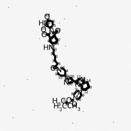 CC(C)(C)OC(=O)N1CCN(c2cccc3ncc(-c4cnn(C5CCN(C(=O)CCCCCNc6ccc7c(c6)C(=O)N(C6CCC(=O)NC6=O)C7=O)CC5)c4)nc23)CC1